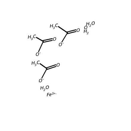 CC(=O)[O-].CC(=O)[O-].CC(=O)[O-].O.O.O.[Fe+3]